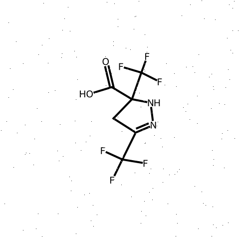 O=C(O)C1(C(F)(F)F)CC(C(F)(F)F)=NN1